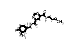 COCCNC(=O)c1cc(C(=O)NCc2ccc(F)c(C)c2)ncn1